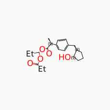 CCC(=O)OC(CC)OC(=O)[C@@H](C)c1ccc(C[C@H]2CCC[C@@H]2O)cc1